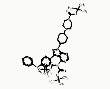 CC(C)(C)OC(=O)N1CCN(C2CCC(n3nc(-c4ccc(Oc5ccccc5)c(N)c4)c4c(N(C(=O)OC(C)(C)C)C(=O)OC(C)(C)C)ncnc43)CC2)CC1